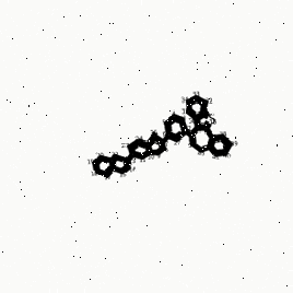 C1=C(c2cccc(-c3ccc4cc(-c5ccc6ccccc6c5)ccc4c3)c2)c2c(sc3ccccc23)-c2ccccc2C1